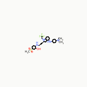 CN(C)c1ccc(Nc2cccc3c2cc(C#CCNc2ccc(S(C)(=O)=O)cc2O)n3CC(F)(F)F)cc1